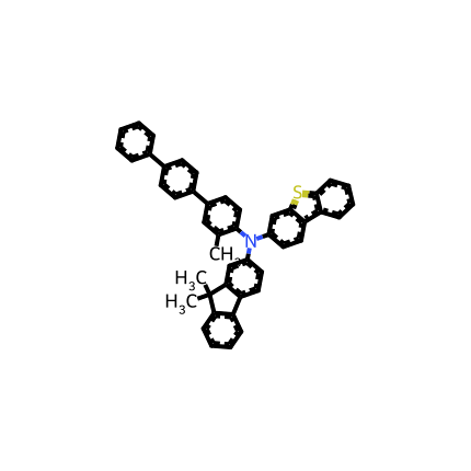 Cc1cc(-c2ccc(-c3ccccc3)cc2)ccc1N(c1ccc2c(c1)C(C)(C)c1ccccc1-2)c1ccc2c(c1)sc1ccccc12